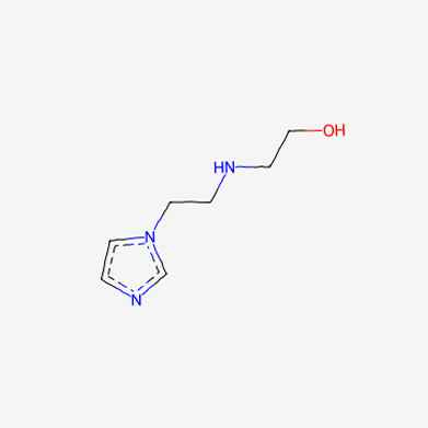 OCCNCCn1ccnc1